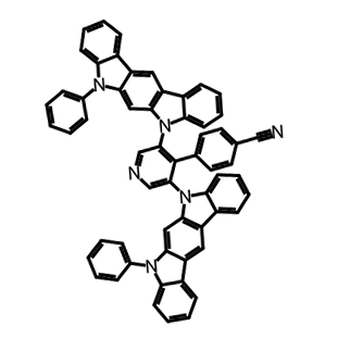 N#Cc1ccc(-c2c(-n3c4ccccc4c4cc5c6ccccc6n(-c6ccccc6)c5cc43)cncc2-n2c3ccccc3c3cc4c5ccccc5n(-c5ccccc5)c4cc32)cc1